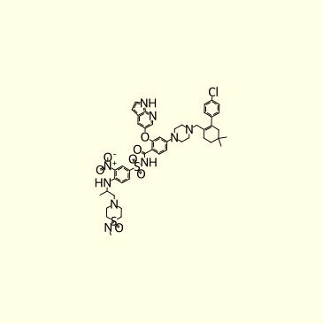 CN=S1(=O)CCN(CC(C)Nc2ccc(S(=O)(=O)NC(=O)c3ccc(N4CCN(CC5=C(c6ccc(Cl)cc6)CC(C)(C)CC5)CC4)cc3Oc3cnc4[nH]ccc4c3)cc2[N+](=O)[O-])CC1